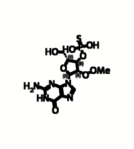 COO[C@@H]1[C@H](OP(O)(O)=S)[C@@H](CO)O[C@H]1n1cnc2c(=O)[nH]c(N)nc21